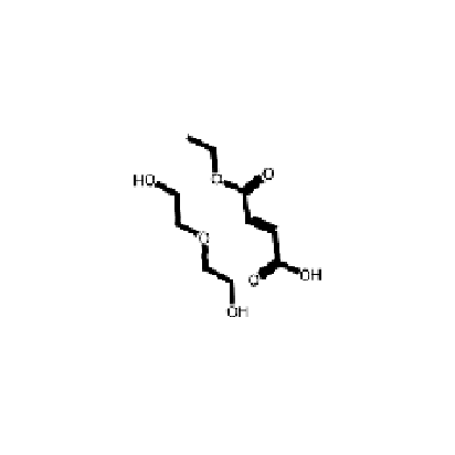 CCOC(=O)C=CC(=O)O.OCCOCCO